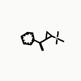 C=C(c1ccccc1)C1CC1[Si](C)(C)C